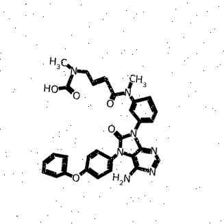 CN(CC=CC(=O)N(C)c1cccc(-n2c(=O)n(-c3ccc(Oc4ccccc4)cc3)c3c(N)ncnc32)c1)C(=O)O